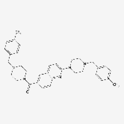 Cc1ccc(CN2CCN(c3ccc4cc(C(=O)N5CCN(Cc6ccc(C(F)(F)F)cc6)CC5)ccc4n3)CC2)cc1